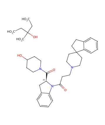 O=C(O)CC(O)(CC(=O)O)C(=O)O.O=C([C@@H]1Cc2ccccc2N1C(=O)CCN1CCC2(CCc3ccccc32)CC1)N1CCC(O)CC1